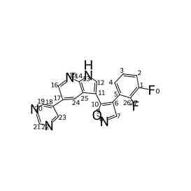 Fc1cccc(-c2cnoc2-c2c[nH]c3ncc(-c4cncnc4)cc23)c1F